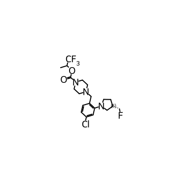 CC(OC(=O)N1CCN(Cc2ccc(Cl)cc2N2CC[C@H](CF)C2)CC1)C(F)(F)F